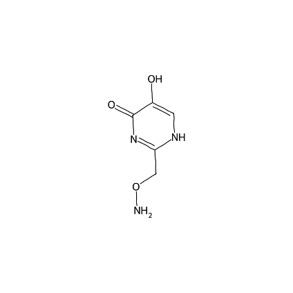 NOCc1nc(=O)c(O)c[nH]1